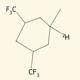 [2H]C1(C)CC(C(F)(F)F)CC(C(F)(F)F)C1